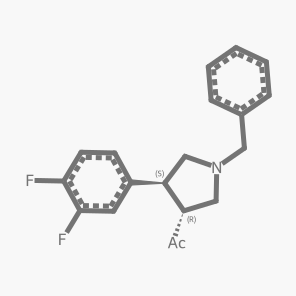 CC(=O)[C@H]1CN(Cc2ccccc2)C[C@@H]1c1ccc(F)c(F)c1